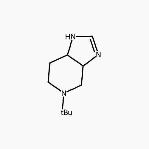 CC(C)(C)N1CCC2NC=NC2C1